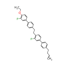 C=CCCc1ccc(-c2ccc(CCc3ccc(-c4ccc(OCC)c(F)c4)cc3)c(F)c2)cc1